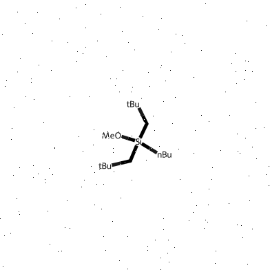 CCCC[Si](CC(C)(C)C)(CC(C)(C)C)OC